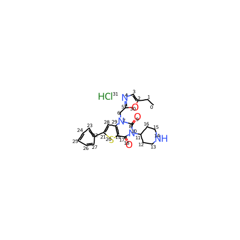 CCc1cnc(Cn2c(=O)n(C3CCNCC3)c(=O)c3sc(-c4ccccc4)cc32)o1.Cl